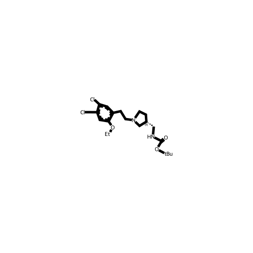 CCOc1cc(Cl)c(Cl)cc1CCN1CC[C@H](CNC(=O)OC(C)(C)C)C1